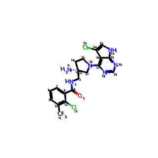 N[C@]1(CNC(=O)c2cccc(C(F)(F)F)c2Cl)CCN(c2ncnc3[nH]cc(Cl)c23)C1